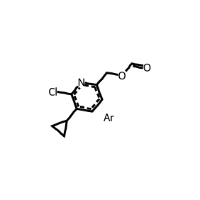 O=COCc1ccc(C2CC2)c(Cl)n1.[Ar]